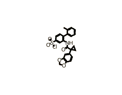 Cc1ccccc1-c1ccc(S(=O)(=O)Cl)cc1NC(=O)C1(c2ccc3c(c2)OCO3)CC1